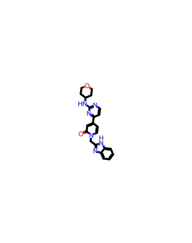 O=c1cc(-c2ccnc(NC3CCOCC3)n2)ccn1Cc1nc2ccccc2[nH]1